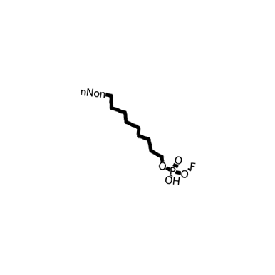 CCCCCCCCCCCCCCCCCCOP(=O)(O)OF